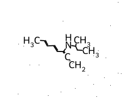 C=C=C(/C=C/C=C/C)NC(C)CC